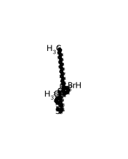 Br.CCCCCCCCCCCCCCCCOc1cccc(CN(C(C)=O)c2cccc(CN3C=CSC3)c2)c1